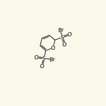 O=S(=O)(Br)C1=CC=CC(S(=O)(=O)Br)O1